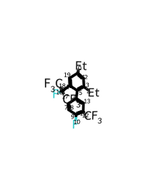 CCc1[c]c(CC)c(-c2ccc(F)c(C(F)(F)F)c2)c(C(F)(C(F)(F)F)C(F)(F)F)c1